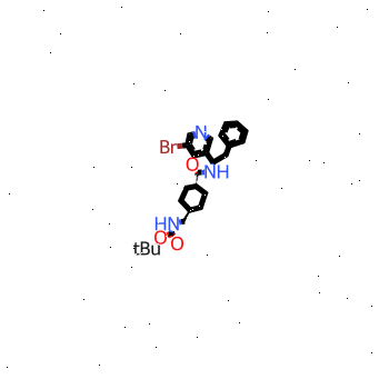 CC(C)(C)OC(=O)NC[C@H]1CC[C@H](C(=O)NC(Cc2ccccc2)c2cncc(Br)c2)CC1